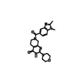 Cc1nc2cc(C(=O)N3CCc4c(nc(N5CCOCC5)[nH]c4=O)C3)ccc2n1C